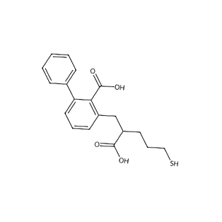 O=C(O)c1c(CC(CCCS)C(=O)O)cccc1-c1ccccc1